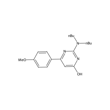 CCCCN(CCCC)c1nc(O)cc(-c2ccc(OC)cc2)n1